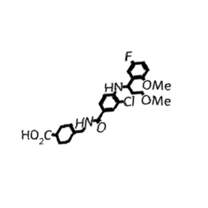 COCCC(Nc1ccc(C(=O)NCC2CCC(C(=O)O)CC2)cc1Cl)c1cc(F)ccc1OC